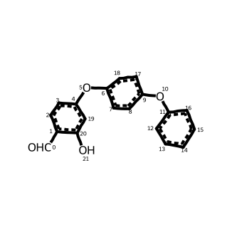 O=Cc1ccc(Oc2ccc(Oc3ccccc3)cc2)cc1O